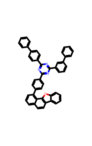 c1ccc(-c2ccc(-c3nc(-c4ccc(-c5cccc6ccc7c8ccccc8oc7c56)cc4)nc(-c4cccc(-c5ccccc5)c4)n3)cc2)cc1